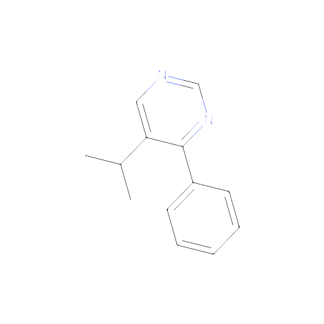 CC(C)c1cncnc1-c1ccccc1